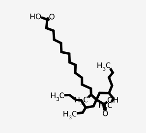 CCCCC(CC)CC(CC(CC)CCCC)(C(=O)O)C(C)CCCCCCCCCCCCC(=O)O